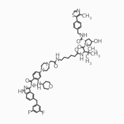 Cc1ncsc1-c1ccc(CNC(=O)[C@@H]2C[C@@H](O)CN2C(=O)C(NC(=O)CCCCCNC(=O)CN2CCN(c3ccc(C(=O)Nc4n[nH]c5ccc(Cc6cc(F)cc(F)c6)cc45)c(NC4CCOCC4)c3)CC2)C(C)(C)C)cc1